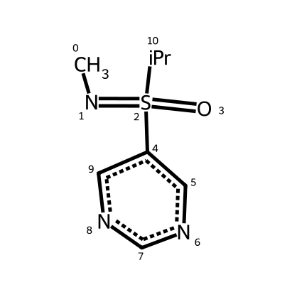 CN=S(=O)(c1cncnc1)C(C)C